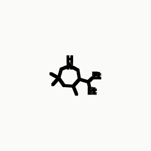 CCC(CC)C1CNCC(C)(C)CC1C